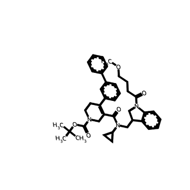 COCCCC(=O)N1CC(CN(C(=O)C2=C(c3cccc(-c4ccccc4)c3)CCN(C(=O)OC(C)(C)C)C2)C2CC2)c2ccccc21